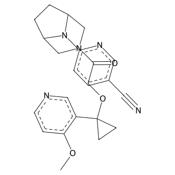 COc1ccncc1C1(OCC(=O)N2CC3CCC(C2)N3c2ccc(C#N)cn2)CC1